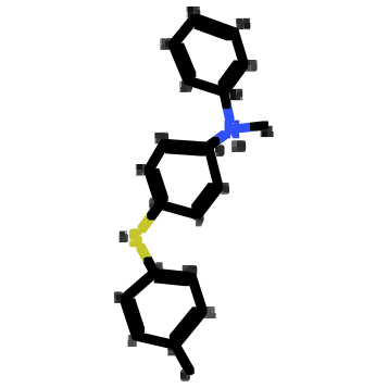 Cc1ccc(Sc2ccc(N(C)c3ccccc3)cc2)cc1